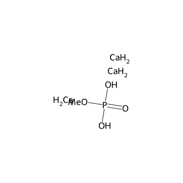 COP(=O)(O)O.[CaH2].[CaH2].[CaH2]